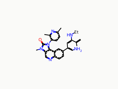 C=C(C)/C(=C\C(=C/N)c1ccc2ncc3c(c2c1)n(-c1ccc(C)nc1C)c(=O)n3C)NCC